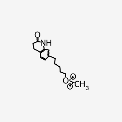 CS(=O)(=O)OCCCCCc1ccc2c(c1)NC(=O)CC2